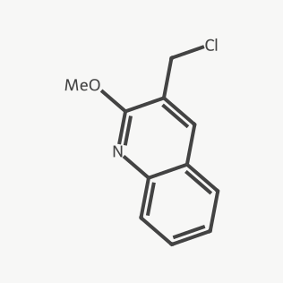 COc1nc2ccccc2cc1CCl